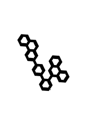 [c]1ccc(-c2ccc(-c3ccc4c(ccc5ccccc54)c3)cc2)c(-c2cc3ccccc3c3ccccc23)c1